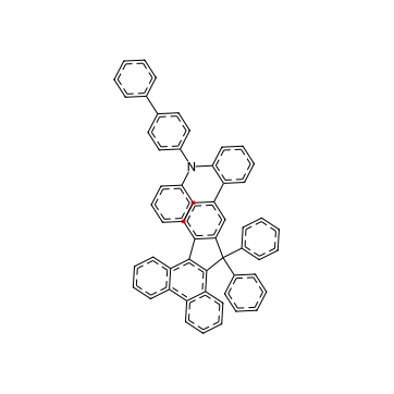 c1ccc(-c2ccc(N(c3ccccc3)c3ccccc3-c3ccc4c(c3)C(c3ccccc3)(c3ccccc3)c3c-4c4ccccc4c4ccccc34)cc2)cc1